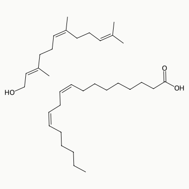 CC(C)=CCCC(C)=CCC/C(C)=C/CO.CCCCC/C=C\C/C=C\CCCCCCCC(=O)O